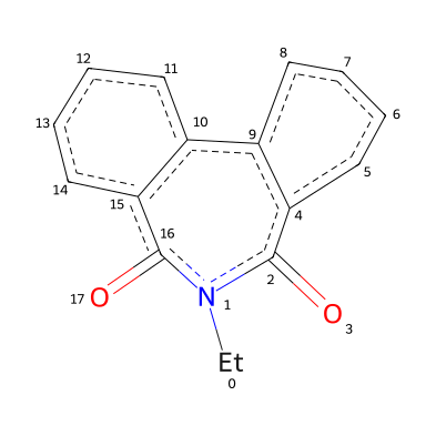 CCn1c(=O)c2ccccc2c2ccccc2c1=O